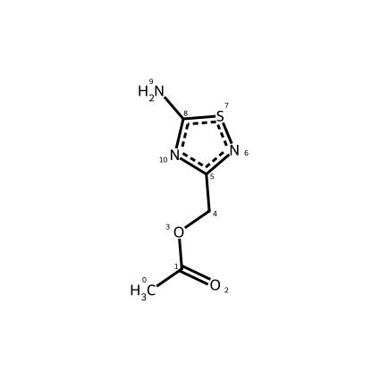 CC(=O)OCc1nsc(N)n1